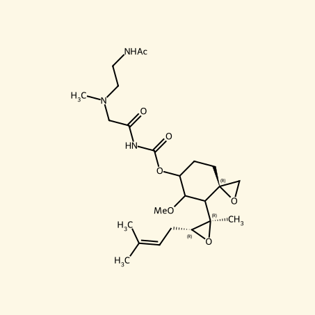 COC1C(OC(=O)NC(=O)CN(C)CCNC(C)=O)CC[C@]2(CO2)C1[C@@]1(C)O[C@@H]1CC=C(C)C